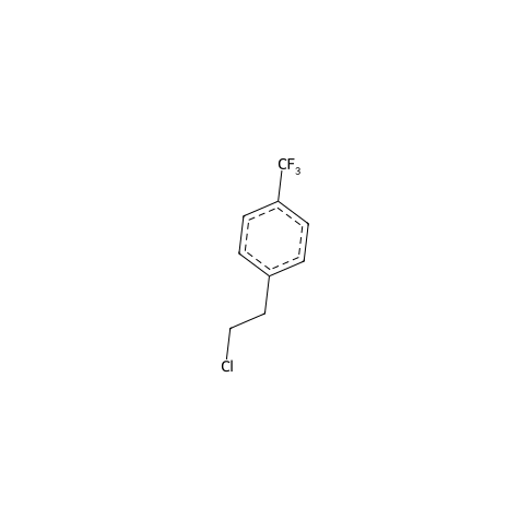 FC(F)(F)c1ccc(CCCl)cc1